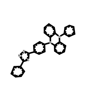 c1ccc(-c2nnc(-c3ccc(N4c5ccccc5N(c5ccccc5)c5ccccc54)cc3)s2)cc1